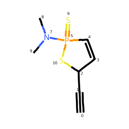 C#CC1C=CP(=S)(N(C)C)S1